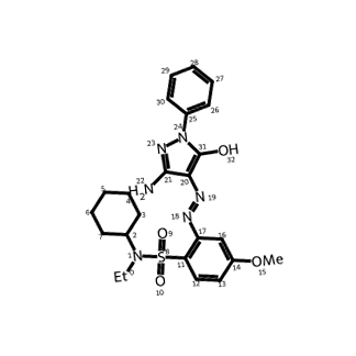 CCN(C1CCCCC1)S(=O)(=O)c1ccc(OC)cc1/N=N/c1c(N)nn(-c2ccccc2)c1O